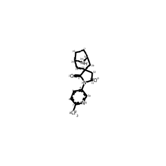 Cl.O=C1N(c2ccc(C(F)(F)F)nc2)CCC12CC1CCC(C2)N1